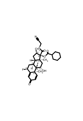 C[C@@H]1C[C@H]2[C@@H]3C[C@H](F)C4=CC(=O)C=C[C@]4(C)[C@@]3(F)[C@@H](O)C[C@]2(C)[C@@]1(OC(=O)C1CCCCC1)C(=O)SCC#N